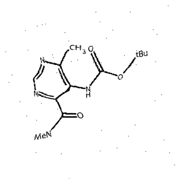 CNC(=O)c1ncnc(C)c1NC(=O)OC(C)(C)C